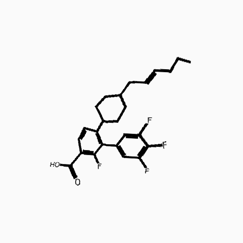 CCCC=CCC1CCC(c2ccc(C(=O)O)c(F)c2-c2cc(F)c(F)c(F)c2)CC1